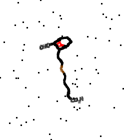 O=CC1C2CCC(O2)C1CCSCCCCC(=O)O